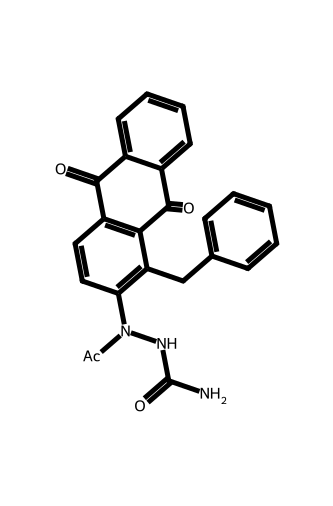 CC(=O)N(NC(N)=O)c1ccc2c(c1Cc1ccccc1)C(=O)c1ccccc1C2=O